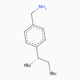 CC(C)(C)C[C@@H](c1ccc(CN)cc1)C(C)(C)C